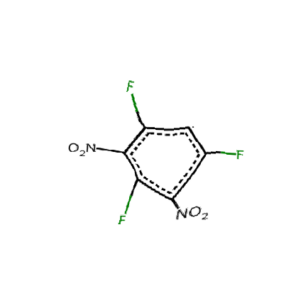 O=[N+]([O-])c1c(F)[c]c(F)c([N+](=O)[O-])c1F